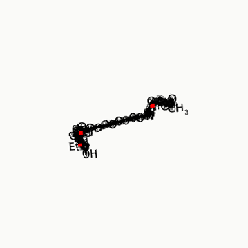 CCc1c2c(nc3ccc(O)cc13)-c1cc3c(c(=O)n1C2)COC(=O)[C@@]3(CC)OC(=O)OCCOCCOCCOCCOCCOCCOCCOCCn1cc(CNC(=O)C2CCC(CN3C(=O)CC(C)C3=O)CC2)nn1